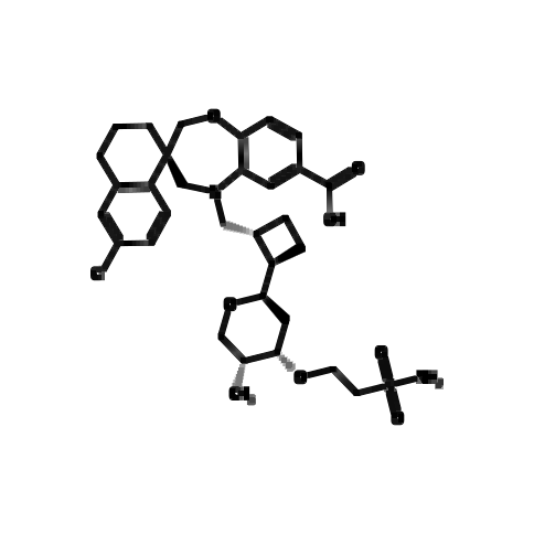 C[C@@H]1CO[C@@H]([C@@H]2CC[C@H]2CN2C[C@@]3(CCCc4cc(Cl)ccc43)COc3ccc(C(=O)O)cc32)C[C@@H]1OCCS(N)(=O)=O